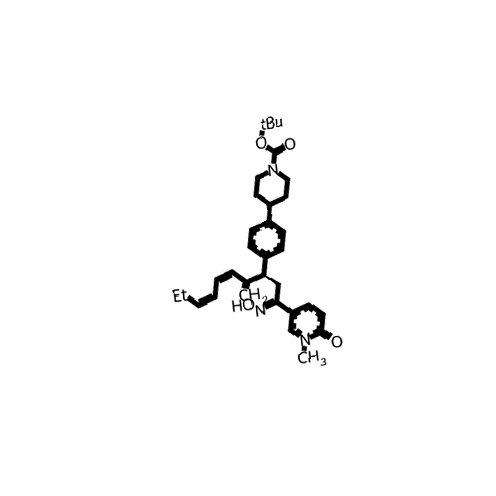 C=C(/C=C\C=C/CC)[C@H](C/C(=N\O)c1ccc(=O)n(C)c1)c1ccc(C2CCN(C(=O)OC(C)(C)C)CC2)cc1